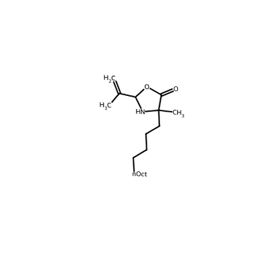 C=C(C)C1NC(C)(CCCCCCCCCCCC)C(=O)O1